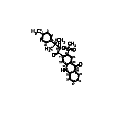 Cc1ccc(C(C)(C)NC(=O)c2cc3[nH]c4ccccc4c(=O)c3cc2S(C)(=O)=O)cn1